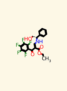 CCOC(=O)/C(=C\N[C@H](CO)c1ccccc1)C(=O)c1c(F)c(F)c(F)c(F)c1F